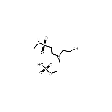 CNS(=O)(=O)CCN(C)CCO.COS(=O)(=O)O